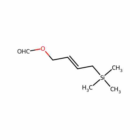 C[Si](C)(C)CC=CCOC=O